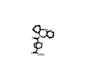 COC(=O)C12CCC(C(=O)N3Cc4cccnc4Nc4ccccc43)(CC1)C2